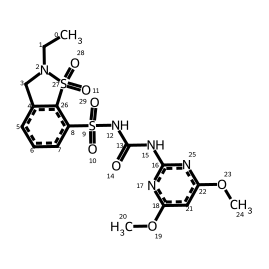 CCN1Cc2cccc(S(=O)(=O)NC(=O)Nc3nc(OC)cc(OC)n3)c2S1(=O)=O